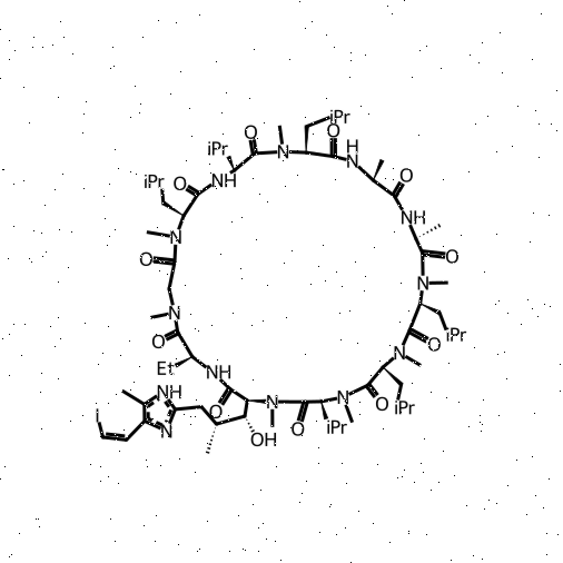 CC[C@@H]1NC(=O)[C@H]([C@H](O)[C@H](C)Cc2nc(/C=C\I)c(C)[nH]2)N(C)C(=O)[C@H](C(C)C)N(C)C(=O)[C@H](CC(C)C)N(C)C(=O)[C@H](CC(C)C)N(C)C(=O)[C@@H](C)NC(=O)[C@H](C)NC(=O)[C@H](CC(C)C)N(C)C(=O)[C@H](C(C)C)NC(=O)[C@H](CC(C)C)N(C)C(=O)CN(C)C1=O